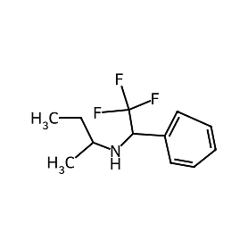 CCC(C)NC(c1ccccc1)C(F)(F)F